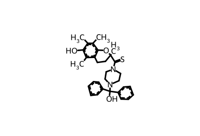 Cc1c(C)c2c(c(C)c1O)CCC(C)(C(=S)N1CCN(C(O)(c3ccccc3)c3ccccc3)CC1)O2